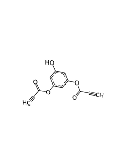 C#CC(=O)Oc1cc(O)cc(OC(=O)C#C)c1